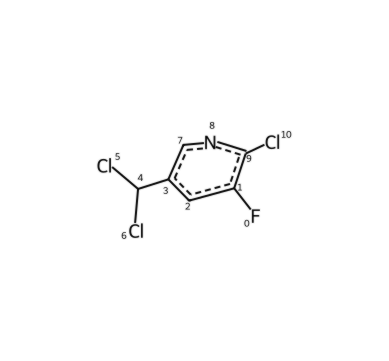 Fc1cc(C(Cl)Cl)cnc1Cl